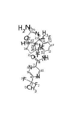 CC(F)(F)c1cnc(C(=O)Nc2ccc(F)c([C@@]3(C)N=C(N)O[C@@H]4CCC(F)(F)[C@@H]43)c2)cn1